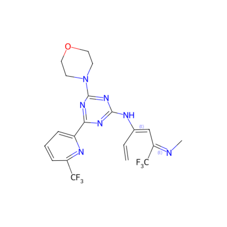 C=C/C(=C\C(=N/C)C(F)(F)F)Nc1nc(-c2cccc(C(F)(F)F)n2)nc(N2CCOCC2)n1